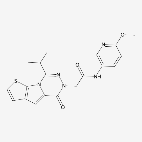 COc1ccc(NC(=O)Cn2nc(C(C)C)n3c(cc4ccsc43)c2=O)cn1